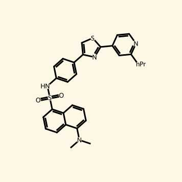 CCCc1cc(-c2nc(-c3ccc(NS(=O)(=O)c4cccc5c(N(C)C)cccc45)cc3)cs2)ccn1